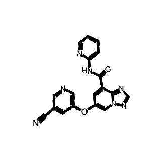 N#Cc1cncc(Oc2cc(C(=O)Nc3ccccn3)c3ncnn3c2)c1